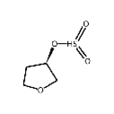 O=[SH](=O)O[C@@H]1CCOC1